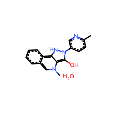 Cc1ccc(N2NC3=c4ccccc4=CN(C)C3=C2O)cn1.O